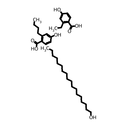 CCCCCCCCCCCCCCCCCCO.CCCCc1cc(O)ccc1C(=O)O.CCc1cc(O)ccc1C(=O)O